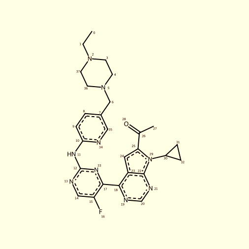 CCN1CCN(Cc2ccc(Nc3ncc(F)c(-c4ncnc5c4cc(C(C)=O)n5C4CC4)n3)nc2)CC1